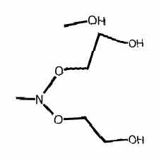 CN(OCCO)OCCO.CO